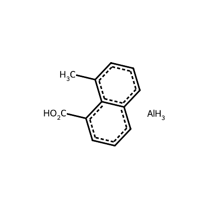 Cc1cccc2cccc(C(=O)O)c12.[AlH3]